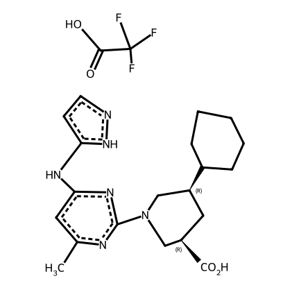 Cc1cc(Nc2ccn[nH]2)nc(N2C[C@H](C(=O)O)C[C@H](C3CCCCC3)C2)n1.O=C(O)C(F)(F)F